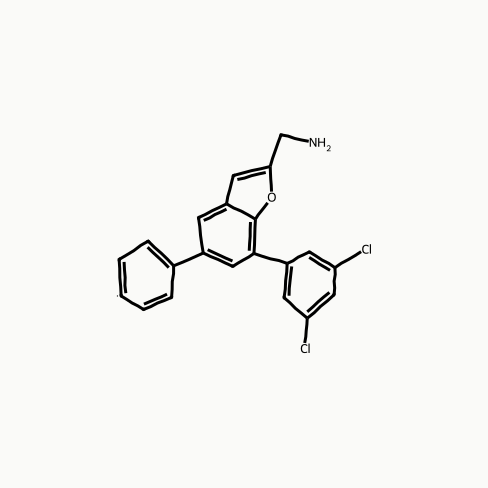 NCc1cc2cc(-c3cc[c]cc3)cc(-c3cc(Cl)cc(Cl)c3)c2o1